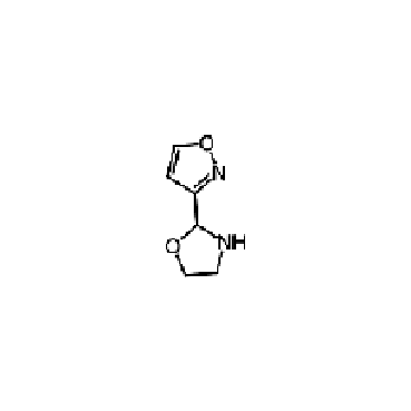 c1cc(C2NCCO2)no1